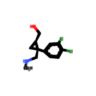 O=C(O)NC[C@@]1(c2ccc(Cl)c(Cl)c2)C[C@H]1CO